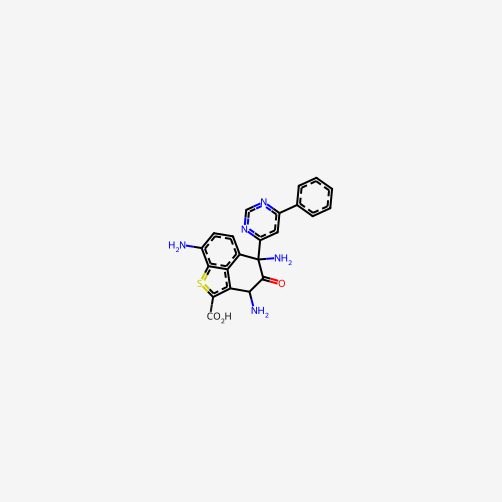 Nc1ccc2c3c(c(C(=O)O)sc13)C(N)C(=O)C2(N)c1cc(-c2ccccc2)ncn1